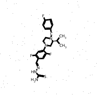 CC(C)[C@H]1CN(c2cc(F)c(C=NNC(N)=S)cc2F)CCN1Cc1ccc(F)cc1